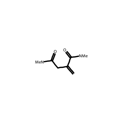 C=C(CC(=O)NC)C(=O)NC